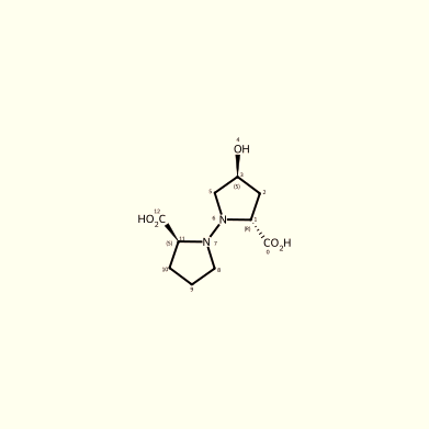 O=C(O)[C@H]1C[C@H](O)CN1N1CCC[C@H]1C(=O)O